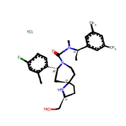 Cc1cc(F)ccc1[C@H]1C[C@]2(CC[C@@H](CO)N2)CCN1C(=O)N(C)[C@H](C)c1cc(C(F)(F)F)cc(C(F)(F)F)c1.Cl